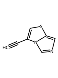 C#Cc1csc2cncn12